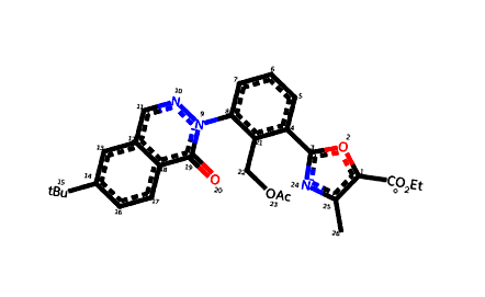 CCOC(=O)c1oc(-c2cccc(-n3ncc4cc(C(C)(C)C)ccc4c3=O)c2COC(C)=O)nc1C